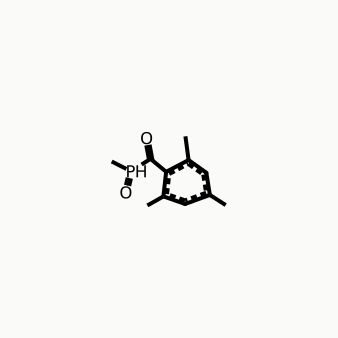 Cc1cc(C)c(C(=O)[PH](C)=O)c(C)c1